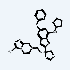 Cc1nnc2n1CCN(CC[C@]1(c3cc4cc(Oc5ccccc5)cc(NC5CCCC5)c4[nH]3)CSC=N1)C2